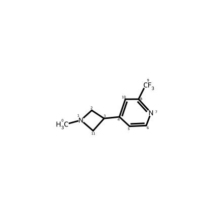 CN1CC(c2ccnc(C(F)(F)F)c2)C1